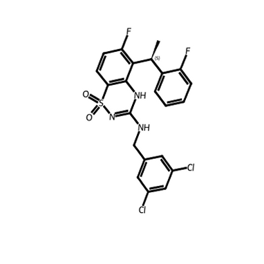 C[C@@H](c1ccccc1F)c1c(F)ccc2c1NC(NCc1cc(Cl)cc(Cl)c1)=NS2(=O)=O